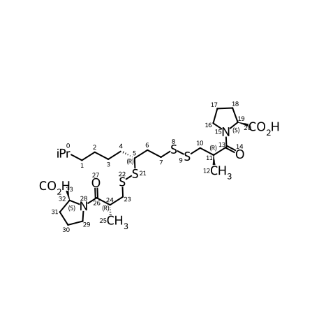 CC(C)CCCC[C@H](CCSSC[C@H](C)C(=O)N1CCC[C@H]1C(=O)O)SSC[C@H](C)C(=O)N1CCC[C@H]1C(=O)O